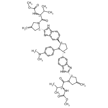 C=C1C[C@@H](c2nc3cc([C@H]4CC[C@H](c5ccc6[nH]c([C@@H]7CC(=C)CN7C(=O)[C@@H](NC(=O)OC)C(C)C)nc6c5)N4c4ccc(N(C)C)cc4)ccc3[nH]2)N(C(=O)[C@@H](NC(=O)OC)C(C)C)C1